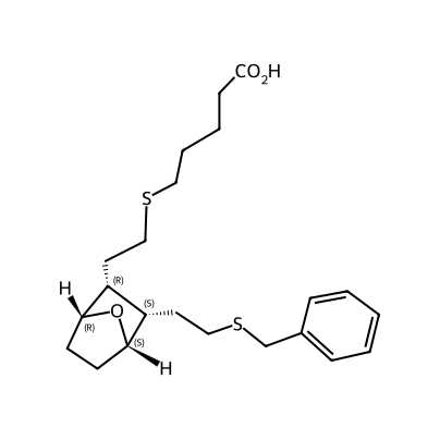 O=C(O)CCCCSCC[C@@H]1[C@H](CCSCc2ccccc2)[C@@H]2CC[C@H]1O2